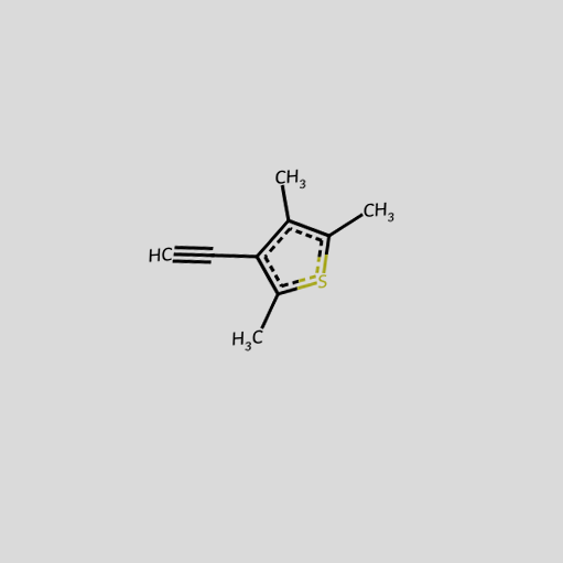 C#Cc1c(C)sc(C)c1C